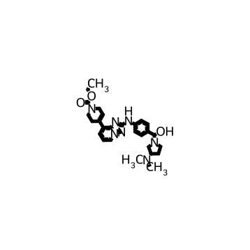 CCOC(=O)N1CC=C(c2cccn3nc(Nc4ccc(C(O)N5CCC(N(C)C)C5)cc4)nc23)CC1